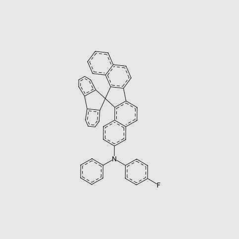 Fc1ccc(N(c2ccccc2)c2ccc3c4c(ccc3c2)-c2ccc3ccccc3c2C42c3ccccc3-c3ccccc32)cc1